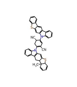 CC12C=CC=CC1SC1=Cc3c(c4ccccc4n3C3=C(C#N)C=C(n4c5ccccc5c5cc6c(cc54)sc4ccccc46)C(C#N)C3)CC12